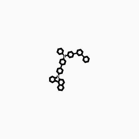 c1ccc(-c2cccc(-c3ccc(N(c4ccccc4)c4ccc(-c5ccc(-n6c7ccccc7c7c8ccccc8ccc76)cc5)cc4)cc3)c2)cc1